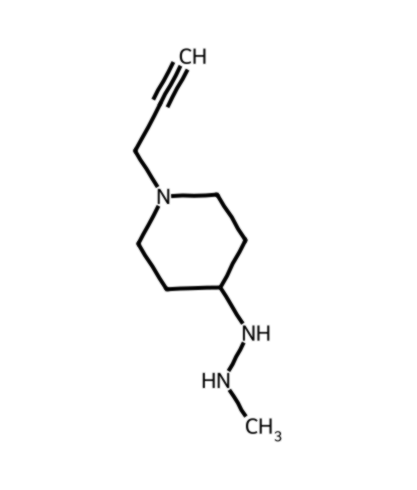 C#CCN1CCC(NNC)CC1